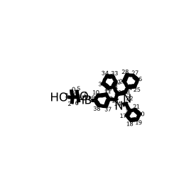 CC(C)(O)C(C)(C)OBc1ccc(-c2nc(-c3ccccc3)nc(-c3ccccc3)c2-c2ccccc2)cc1